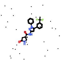 CC(F)(F)c1cccc(-c2cc(NC(=O)[C@H]3CNC(=O)C3)nn2-c2ccccc2)c1